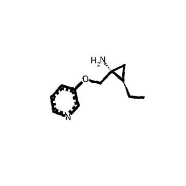 CC[C@@H]1C[C@]1(N)COc1cccnc1